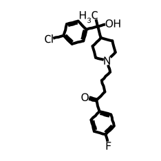 CC(O)(c1ccc(Cl)cc1)C1CCN(CCCC(=O)c2ccc(F)cc2)CC1